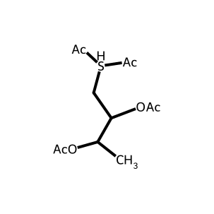 CC(=O)OC(C)C(C[SH](C(C)=O)C(C)=O)OC(C)=O